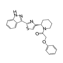 O=C(COc1ccccc1)N1CCCC[C@@H]1c1csc(-c2n[nH]c3ccccc23)n1